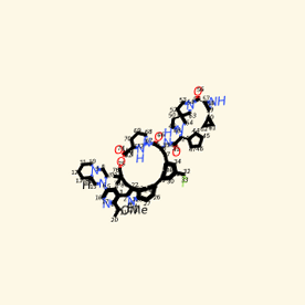 CCn1c(-c2cc(N3CCN4CCCC[C@@H]4C3)cnc2[C@H](C)OC)c2c3cc(ccc31)-c1cc(CF)cc(c1)C[C@H](NC(=O)[C@H](C1CCCC1)N1CC[C@]3(CCN(C(=O)[C@@H]4N[C@@H]4C4CC4)C3)C1)C(=O)N1CCC[C@H](N1)C(=O)OCC(C)(C)C2